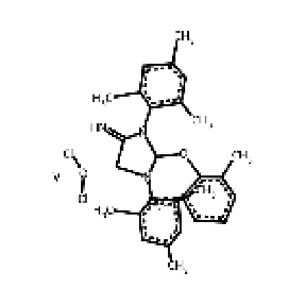 Cc1cc(C)c(N2CC(=N)N(c3c(C)cc(C)cc3C)C2Oc2c(C)cccc2C)c(C)c1.ClOCl.[V]